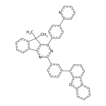 CC1(C)c2ccccc2-c2nc(-c3cccc(-c4cccc5c4oc4ccccc45)c3)nc(-c3ccc(-c4ccccn4)cc3)c21